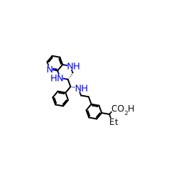 CCC(C(=O)O)c1cccc(CCN[C@H](c2ccccc2)[C@H]2CNc3cccnc3N2)c1